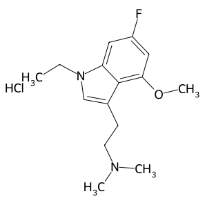 CCn1cc(CCN(C)C)c2c(OC)cc(F)cc21.Cl